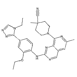 CCOc1cc(-c2nncn2CC)ccc1Nc1ncc2cc(C)nc(N3CCC(C)(C#N)CC3)c2n1